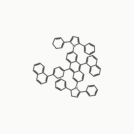 C1=CC(c2ccc(-c3ccccc3)n2-c2ccc3c(C4=CC=C(c5cccc6ccccc56)CC4)c4cc(N5C(c6ccccc6)=CCC5c5ccccc5)ccc4c(-c4cccc5ccccc45)c3c2)=CCC1